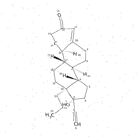 C#C[C@]1(O)CC[C@H]2[C@@H]3CCC4=CC(=O)CC[C@@H]4[C@H]3CC[C@@]21CCC